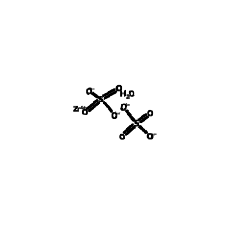 O.O=S(=O)([O-])[O-].O=S(=O)([O-])[O-].[Zr+4]